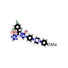 COc1ccc(N2CCN(c3ccc(-n4cnn([C@H](C)[C@](O)(Cn5cncn5)c5ccc(F)cc5F)c4=O)cc3)CC2)cc1